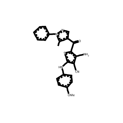 COc1ccc(Nc2sc(C(=O)c3cnn(-c4ccccc4)c3C)c(N)c2C#N)cc1